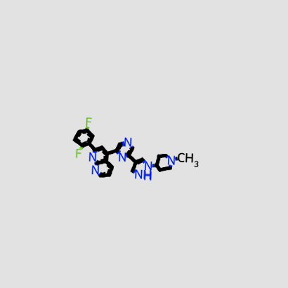 CN1CCC(N/C=C(\C=N)c2cncc(-c3cc(-c4cc(F)ccc4F)nc4ncccc34)n2)CC1